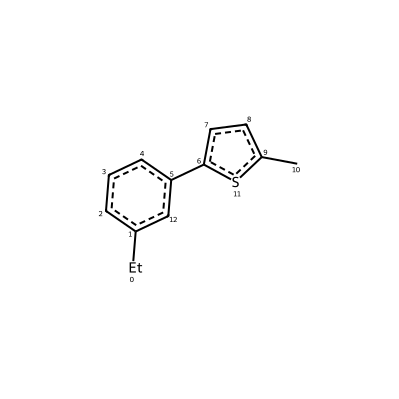 CCc1cccc(-c2ccc(C)s2)c1